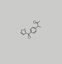 CC(=O)C(C)c1ccc(C(=O)C2C=CCS2)cc1